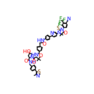 Cc1ncsc1-c1ccc(CNC(=O)C2C[C@@H](O)CN2C(=O)[C@@H](NC(=O)c2ccc(CC(=O)Nc3ccc(-c4ccc(N5C(=S)N(c6ccc(C#N)c(C(F)(F)F)c6F)C(=O)C5(C)C)cn4)cc3)cc2)C(C)(C)C)cc1